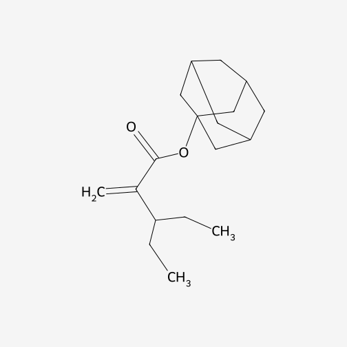 C=C(C(=O)OC12CC3CC(CC(C3)C1)C2)C(CC)CC